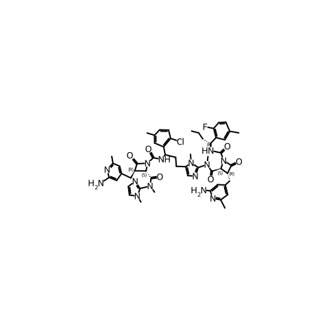 CCC[C@@H](NC(=O)N1C(=O)[C@H](Cc2cc(C)nc(N)c2)[C@H]1C(=O)N(C)c1ncc(CCC(NC(=O)N2C(=O)[C@H](Cc3cc(C)nc(N)c3)[C@H]2C(=O)N(C)c2nccn2C)c2cc(C)ccc2Cl)n1C)c1cc(C)ccc1F